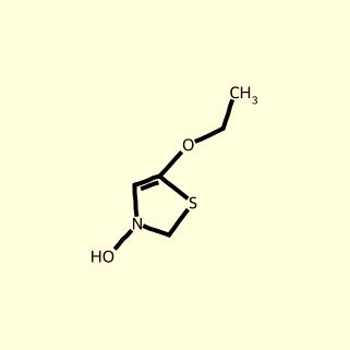 CCOC1=CN(O)CS1